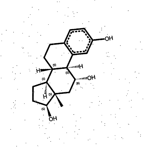 C[C@]12C[C@@H](O)[C@@H]3c4cc(O)ccc4CC[C@H]3[C@@H]1CC[C@@H]2O